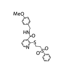 COc1ccc(CNC(=O)c2cccnc2SCCS(=O)(=O)c2ccccc2)cc1